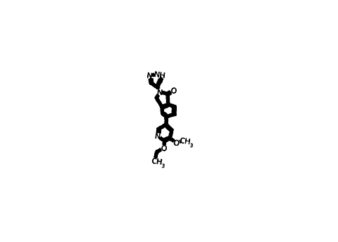 CCOc1ncc(-c2ccc3c(c2)CN(c2cn[nH]c2)C3=O)cc1OC